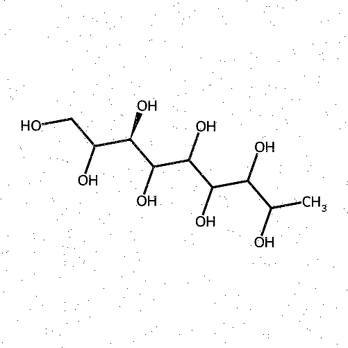 CC(O)C(O)C(O)C(O)C(O)[C@H](O)C(O)CO